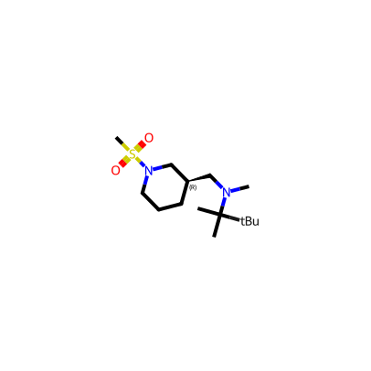 CN(C[C@H]1CCCN(S(C)(=O)=O)C1)C(C)(C)C(C)(C)C